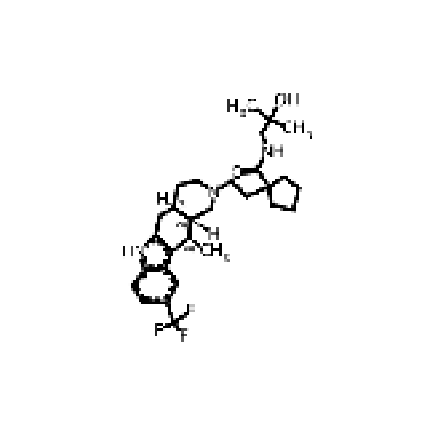 C[C@H]1c2c([nH]c3ccc(C(F)(F)F)cc23)C[C@H]2CCN(CCC3(C(=O)NCC(C)(C)O)CCCC3)C[C@@H]21